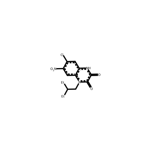 CCC(CC)Cn1c(=O)c(=O)[nH]c2cc(Cl)c([N+](=O)[O-])cc21